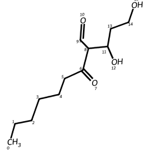 CCCCCCC(=O)C([C]=O)C(O)CCO